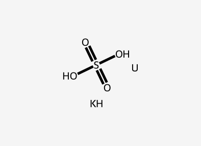 O=S(=O)(O)O.[KH].[U]